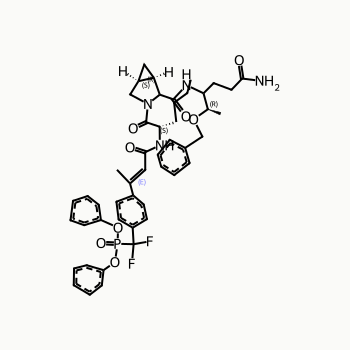 CCCC[C@H](NC(=O)/C=C(\C)c1ccc(C(F)(F)P(=O)(Oc2ccccc2)Oc2ccccc2)cc1)C(=O)N1C[C@H]2C[C@H]2C1C(=O)NC(CCC(N)=O)[C@@H](C)OCc1ccccc1